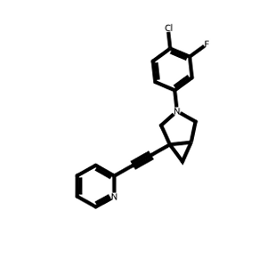 Fc1cc(N2CC3CC3(C#Cc3ccccn3)C2)ccc1Cl